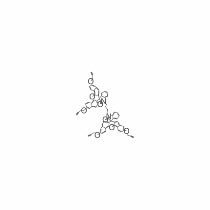 C#CCOc1ccc2c3c(ccc2c1)C1(C(=O)N(CCCCN2C(=O)C4(c5ccccc52)c2ccc5cc(OCC#C)ccc5c2Oc2c4ccc4cc(OCC#C)ccc24)c2ccccc21)c1ccc2cc(OCC#C)ccc2c1O3